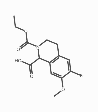 CCOC(=O)N1CCc2cc(Br)c(OC)cc2C1C(=O)O